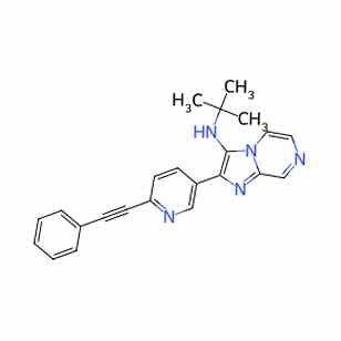 CC(C)(C)Nc1c(-c2ccc(C#Cc3ccccc3)nc2)nc2cnccn12